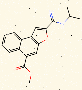 COC(=O)c1cc2oc(C(=N)NC(C)C)cc2c2ccccc12